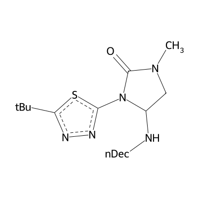 CCCCCCCCCCNC1CN(C)C(=O)N1c1nnc(C(C)(C)C)s1